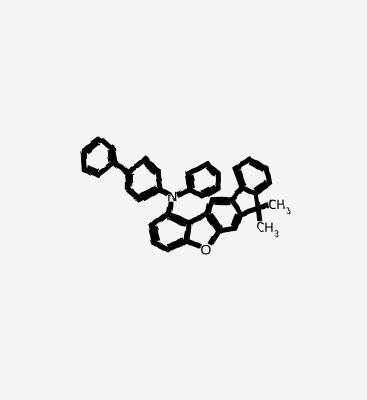 CC1(C)c2ccccc2-c2cc3c(cc21)oc1cccc(N(c2ccccc2)c2ccc(-c4ccccc4)cc2)c13